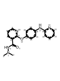 CN(C)NC(=O)c1cccnc1Oc1ccc(Nc2ccccn2)cc1